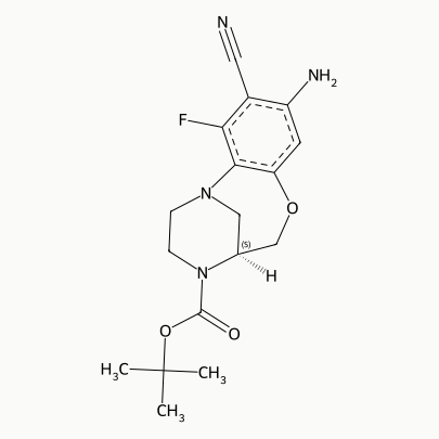 CC(C)(C)OC(=O)N1CCN2C[C@H]1COc1cc(N)c(C#N)c(F)c12